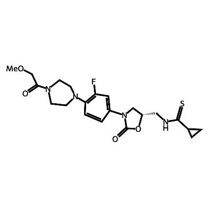 COCC(=O)N1CCN(c2ccc(N3C[C@H](CNC(=S)C4CC4)OC3=O)cc2F)CC1